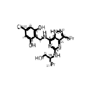 CC(C)c1n[nH]c2c(NCc3c(O)cc(Cl)cc3O)nc(NC(CO)C(C)C)nc12